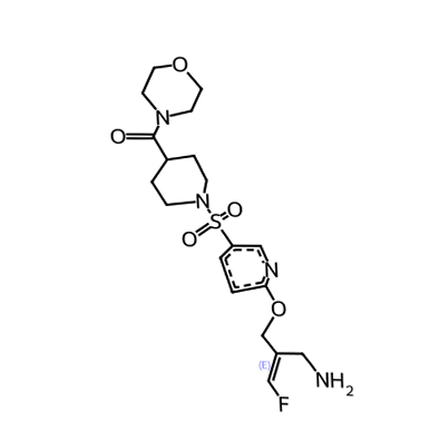 NC/C(=C\F)COc1ccc(S(=O)(=O)N2CCC(C(=O)N3CCOCC3)CC2)cn1